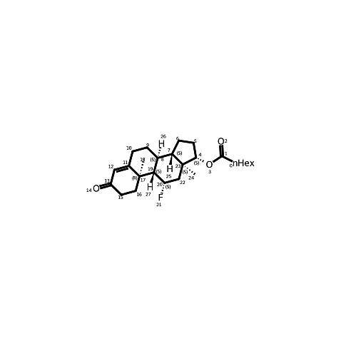 CCCCCCC(=O)O[C@H]1CC[C@H]2[C@@H]3CCC4=CC(=O)CC[C@]4(C)[C@H]3[C@@H](F)C[C@]12C